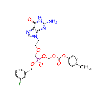 Cc1ccc(OC(=O)OCOP(=O)(COCCn2cnc3c(=O)[nH]c(N)nc32)OCc2cccc(F)c2)cc1